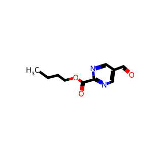 CCCCOC(=O)c1ncc(C=O)cn1